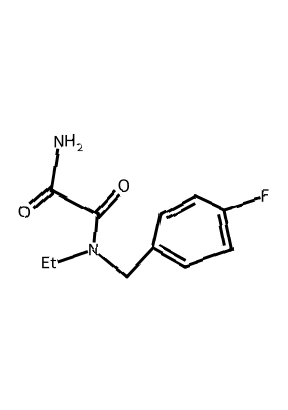 CCN(Cc1ccc(F)cc1)C(=O)C(N)=O